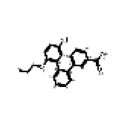 CCCOc1ccc(Cl)cc1-c1ccccc1-c1cccc(C(=O)O)c1